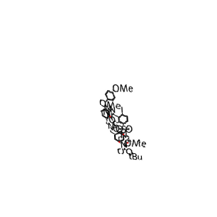 COc1ccc(CN(Cc2ccc(OC)cc2)S(=O)(=O)c2c(S(=O)(=O)N3CCN(C(=O)OC(C)(C)C)CC3)ccc(I)c2-c2nnn(Cc3ccc(OC)cc3)n2)cc1